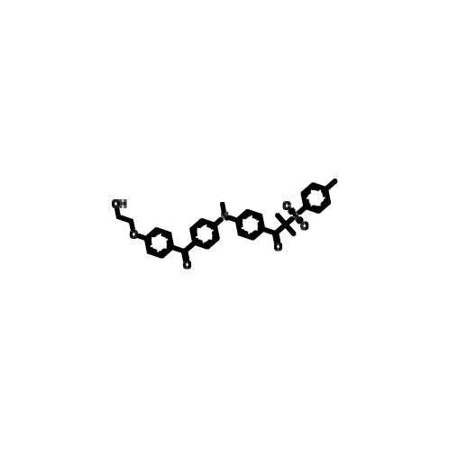 Cc1ccc(S(=O)(=O)C(C)(C)C(=O)c2ccc(N(C)c3ccc(C(=O)c4ccc(OCCO)cc4)cc3)cc2)cc1